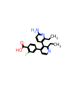 CCc1nc(N)ccc1-c1c(-c2ccc(C(=O)O)c(F)c2)ccnc1CC